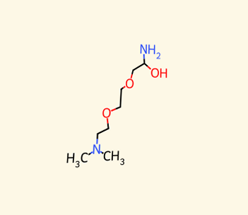 CN(C)CCOCCOCC(N)O